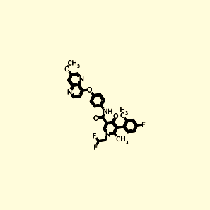 COc1cnc2c(Oc3ccc(NC(=O)c4cn(CC(F)F)c(C)c(-c5ccc(F)cc5C)c4=O)cc3)ccnc2c1